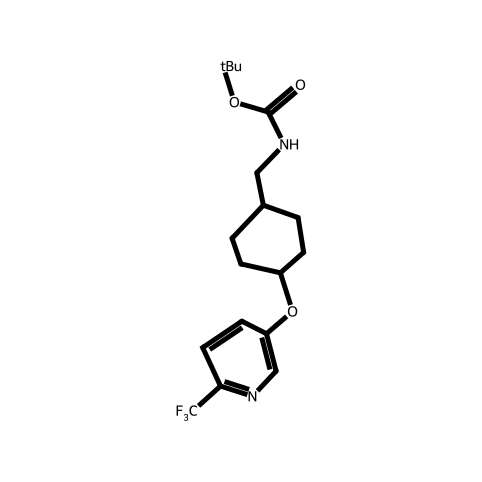 CC(C)(C)OC(=O)NCC1CCC(Oc2ccc(C(F)(F)F)nc2)CC1